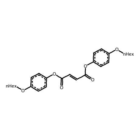 CCCCCCOc1ccc(OC(=O)C=CC(=O)Oc2ccc(OCCCCCC)cc2)cc1